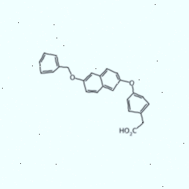 O=C(O)Cc1ccc(Oc2ccc3cc(OCc4ccccc4)ccc3c2)cc1